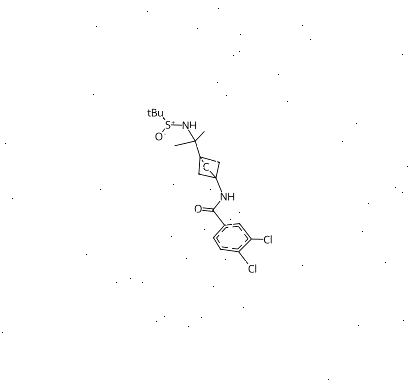 CC(C)(C)[S+]([O-])NC(C)(C)C12CC(NC(=O)c3ccc(Cl)c(Cl)c3)(C1)C2